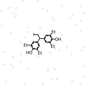 CCc1cc(C(CI)c2cc(CC)c(O)c(CC)c2)cc(CC)c1O